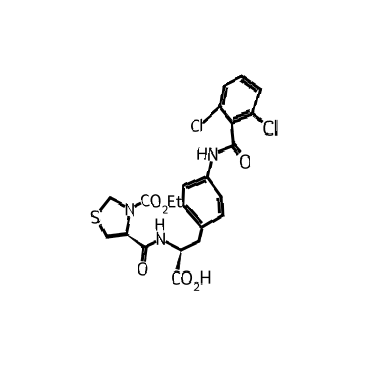 CCOC(=O)N1CSC[C@@H]1C(=O)N[C@@H](Cc1ccc(NC(=O)c2c(Cl)cccc2Cl)cc1)C(=O)O